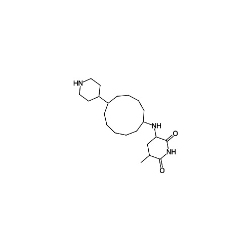 CC1CC(NC2CCCCCC(C3CCNCC3)CCCC2)C(=O)NC1=O